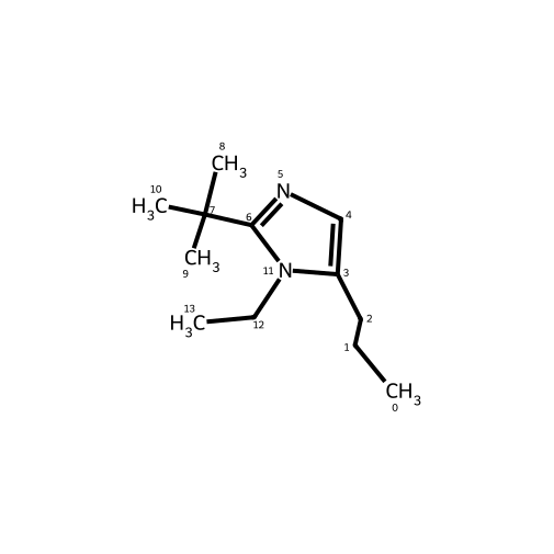 CCCc1cnc(C(C)(C)C)n1CC